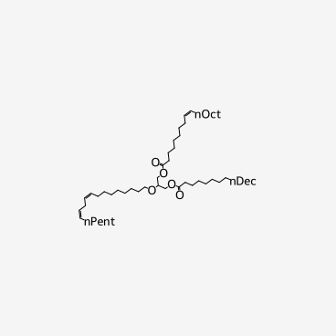 CCCCC/C=C\C/C=C\CCCCCCCCOC(COC(=O)CCCCCCC/C=C\CCCCCCCC)COC(=O)CCCCCCCCCCCCCCCCC